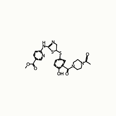 COC(=O)c1ccc(NC2=NCC(Sc3ccc(O)c(C(=O)N4CCN(C(C)=O)CC4)c3)S2)nc1